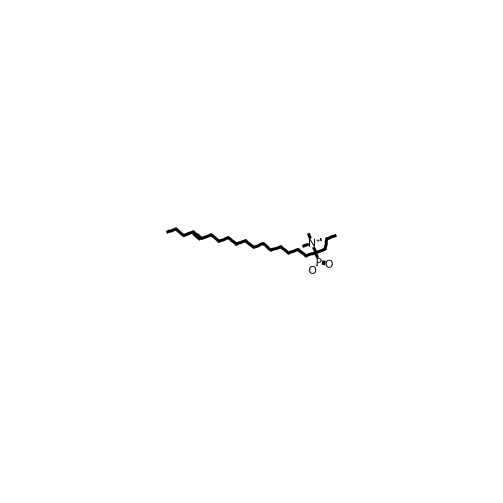 CCCC=CCCCCCCCCCCCCC(CCC)(P(=O)=O)[N+](C)(C)C